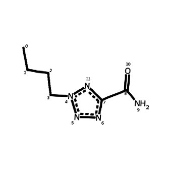 CCCCn1nnc(C(N)=O)n1